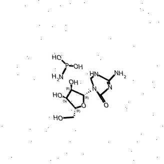 NC1=NC(=O)N([C@@H]2O[C@H](CO)[C@@H](O)[C@H]2O)CN1.NP(O)O